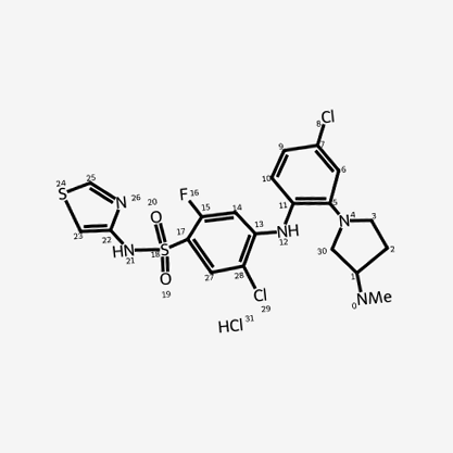 CNC1CCN(c2cc(Cl)ccc2Nc2cc(F)c(S(=O)(=O)Nc3cscn3)cc2Cl)C1.Cl